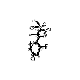 Cc1c(-c2ncc(Cl)cc2F)nn(C)c1S(C)(=O)=O